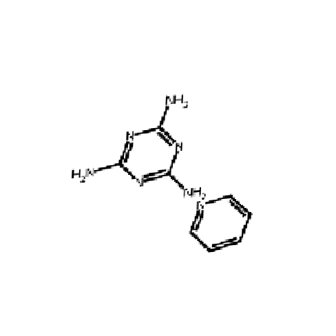 Nc1nc(N)nc(N)n1.c1ccncc1